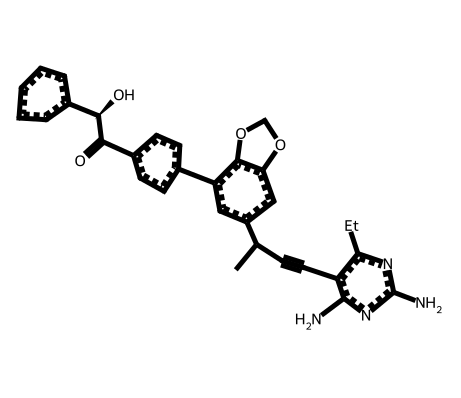 CCc1nc(N)nc(N)c1C#CC(C)c1cc2c(c(-c3ccc(C(=O)[C@H](O)c4ccccc4)cc3)c1)OCO2